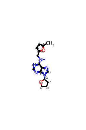 Cc1ccc(CNc2ncnc3c2ncn3C2CCCO2)o1